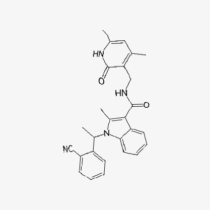 Cc1cc(C)c(CNC(=O)c2c(C)n(C(C)c3ccccc3C#N)c3ccccc23)c(=O)[nH]1